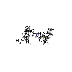 CC(C)C(C)(C)C(OC(=O)/C=C/C(=O)OC(O[Si](C)(C)C)([SiH2]O[SiH3])C(C)(C)C(C)C)(O[Si](C)(C)C)[SiH2]O[SiH3]